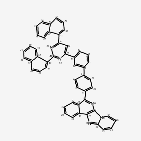 c1cc(-c2ccc(-c3nc4c(nc5ccccn54)c4ccccc34)cc2)cc(-c2cc(-c3cccc4ccccc34)nc(-c3cccc4ccccc34)n2)c1